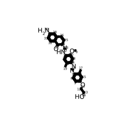 COc1cc(/N=N/c2ccc(OCCO)cc2C)c(C)cc1N/N=C1/C=Cc2cc(N)ccc2C1=O